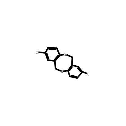 Clc1ccc2c(c1)CSc1ccc(Cl)cc1CS2